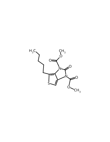 CCCCCc1scc2c1n(C(=O)OC)c(=O)n2C(=O)OC